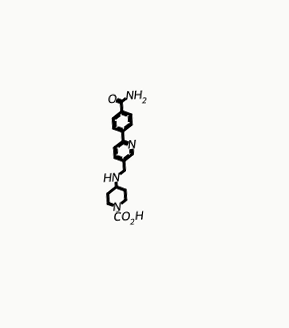 NC(=O)c1ccc(-c2ccc(CNC3CCN(C(=O)O)CC3)cn2)cc1